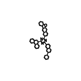 c1ccc(-c2ccc3ccc(-c4nc(-c5ccc6cc7oc8ccccc8c7cc6c5)nc(-c5cc6ccccc6c6ccccc56)n4)cc3c2)cc1